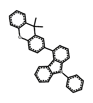 CC1(C)c2ccccc2Oc2ccc(-c3cccc4c3c3ccccc3n4-c3ccccc3)cc21